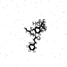 CCC1CN(C(=O)CCc2ccccc2)c2ccc(C(O)(C(F)(F)F)C(F)(F)F)cc2S1